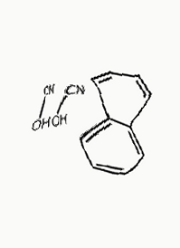 N#CO.N#CO.c1ccc2ccccc2c1